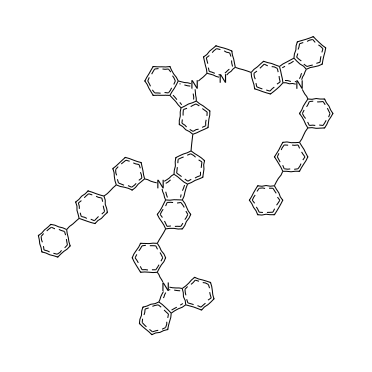 c1ccc(-c2ccc(-c3cccc(-n4c5ccccc5c5cc(-c6cccc(-n7c8ccccc8c8cc(-c9ccc%10c%11ccc(-c%12cccc(-n%13c%14ccccc%14c%14ccccc%14%13)c%12)cc%11n(-c%11cccc(-c%12ccc(-c%13ccccc%13)cc%12)c%11)c%10c9)ccc87)n6)ccc54)c3)cc2)cc1